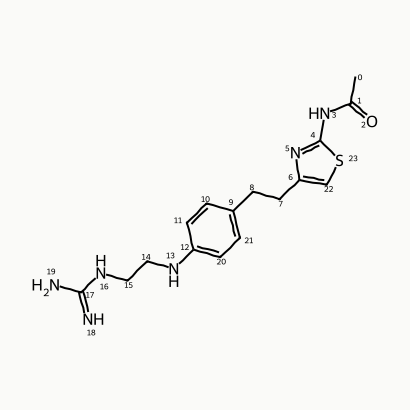 CC(=O)Nc1nc(CCc2ccc(NCCNC(=N)N)cc2)cs1